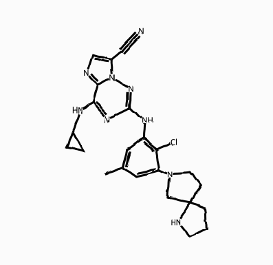 Cc1cc(Nc2nc(NC3CC3)c3ncc(C#N)n3n2)c(Cl)c(N2CCC3(CCCN3)C2)c1